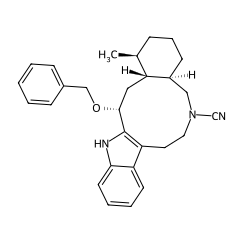 C[C@H]1CCC[C@H]2CN(C#N)CCc3c([nH]c4ccccc34)[C@H](OCc3ccccc3)C[C@@H]21